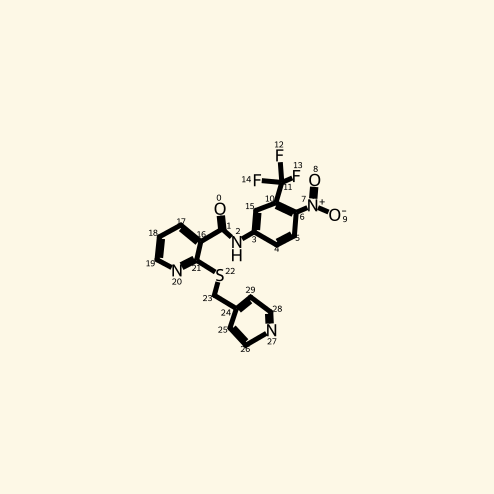 O=C(Nc1ccc([N+](=O)[O-])c(C(F)(F)F)c1)c1cccnc1SCc1ccncc1